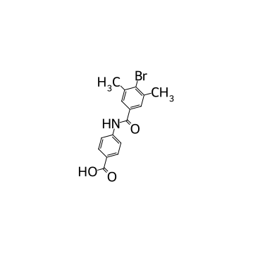 Cc1cc(C(=O)Nc2ccc(C(=O)O)cc2)cc(C)c1Br